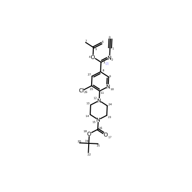 C#C/N=C(\OC(=C)C)c1cnc(N2CCN(C(=O)OC(C)(C)C)CC2)c(Cl)c1